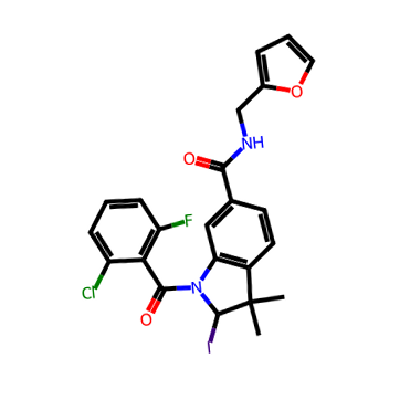 CC1(C)c2ccc(C(=O)NCc3ccco3)cc2N(C(=O)c2c(F)cccc2Cl)C1I